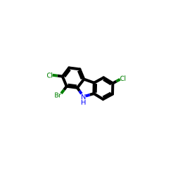 Clc1ccc2[nH]c3c(Br)c(Cl)ccc3c2c1